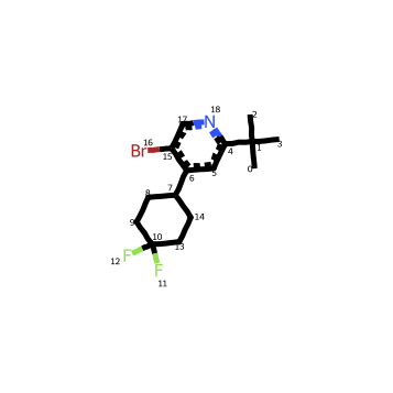 CC(C)(C)c1cc(C2CCC(F)(F)CC2)c(Br)cn1